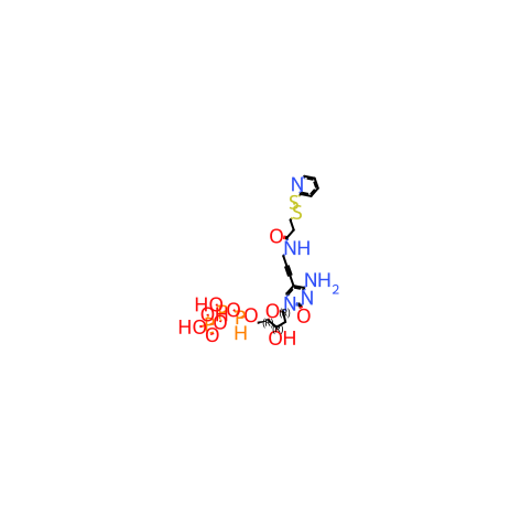 Nc1nc(=O)n([C@H]2C[C@@H](O)[C@@H](COPOP(O)OP(=O)(O)O)O2)cc1C#CCNC(=O)CCSSc1ccccn1